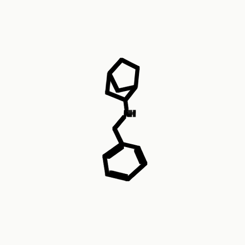 c1ccc(CNC2CC3CCC2C3)cc1